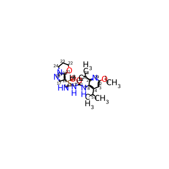 COc1cc(C(C)C)c(NC(=O)N[S@@](=N)(=O)c2cnn3c2OCCC3)c(C(C)C)n1